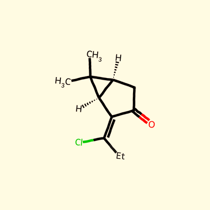 CCC(Cl)=C1C(=O)C[C@H]2[C@@H]1C2(C)C